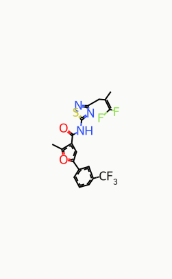 CC(Cc1nsc(NC(=O)c2cc(-c3cccc(C(F)(F)F)c3)oc2C)n1)=C(F)F